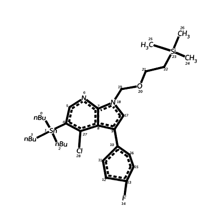 CCC[CH2][Sn]([CH2]CCC)([CH2]CCC)[c]1cnc2c(c(-c3ccc(F)cc3)cn2COCC[Si](C)(C)C)c1Cl